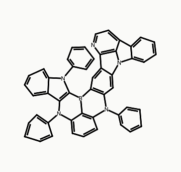 c1ccc(N2c3cc4c(cc3B3c5c2cccc5N(c2ccccc2)c2c3n(-c3ccccc3)c3ccccc23)c2nccc3c5ccccc5n4c32)cc1